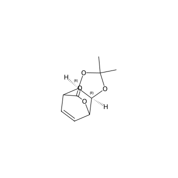 CC1(C)O[C@@H]2C3C=CC(OC3=O)[C@@H]2O1